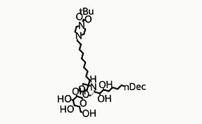 CCCCCCCCCCCCCC[C@@H](O)[C@@H](O)[C@H](COC1OC(CO)C(O)C(O)C1O)NC1(CCCCCCCCCCN2CCN(C(=O)OC(C)(C)C)CC2)COC1